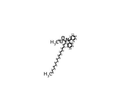 CCCCCCCCCCCCCCCCCCC(N=C(c1ccccc1)c1ccccc1)C(=O)OCC